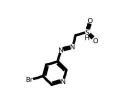 O=[SH](=O)CN=Nc1cncc(Br)c1